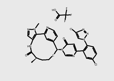 C[C@@H]1CCC[C@H](n2cnc(-c3cc(Cl)ccc3-n3cc(Cl)nn3)cc2=O)c2ccnc(c2)-c2c(cnn2C)NC1=O.O=C(O)C(F)(F)F